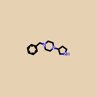 c1ccc(CN2CCN(C3CCNC3)CC2)cc1